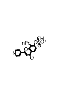 CCCc1c(OS(C)(=O)=O)ccc2c(=O)cc(-c3ccncc3)oc12